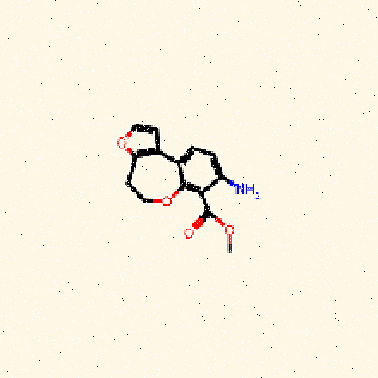 COC(=O)c1c(N)ccc2c1OCCc1occc1-2